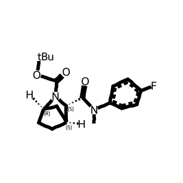 CN(C(=O)[C@@H]1[C@H]2CC[C@H](C2)N1C(=O)OC(C)(C)C)c1ccc(F)cc1